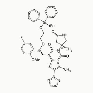 COc1ccc(F)cc1[C@H](Cn1c(=O)n([C@@]2(C)CNC(=O)C2)c(=O)c2c(C)c(-n3nccn3)sc21)OCCO[Si](c1ccccc1)(c1ccccc1)C(C)(C)C